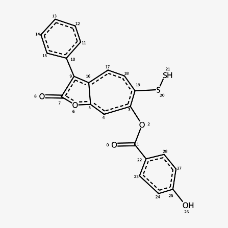 O=C(Oc1cc2oc(=O)c(-c3ccccc3)c-2ccc1SS)c1ccc(O)cc1